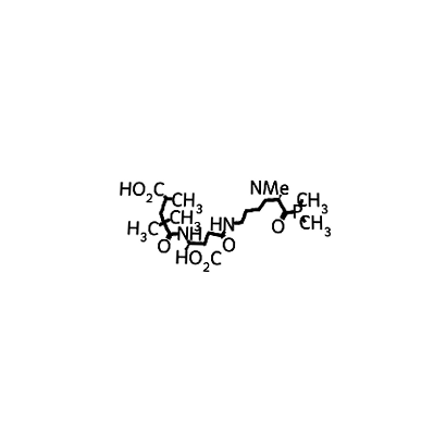 CN[C@@H](CCCCNC(=O)CC[C@H](NC(=O)C(C)(C)CC(C)C(=O)O)C(=O)O)C(=O)P(C)C